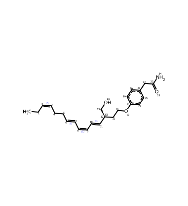 CC/C=C\CC/C=C/C=C\C=C\[C@@H](CO)CCOc1ccc(CC(N)=O)cc1